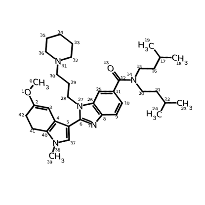 COC1=Cc2c(-c3nc4ccc(C(=O)N(CCC(C)C)CCC(C)C)cc4n3CCCN3CCCCC3)cn(C)c2CC1